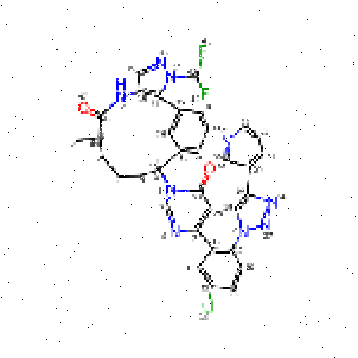 C[C@@H]1CCC[C@H](n2cnc(-c3cc(Cl)ccc3-n3cc(-c4cccnc4)nn3)cc2=O)c2cccc(c2)-c2c(cnn2C(F)F)NC1=O